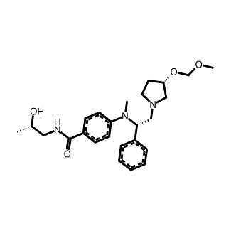 COCO[C@H]1CCN(C[C@H](c2ccccc2)N(C)c2ccc(C(=O)NC[C@H](C)O)cc2)C1